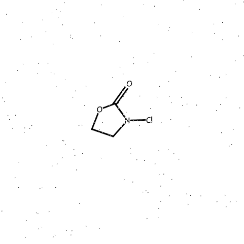 O=C1OCCN1Cl